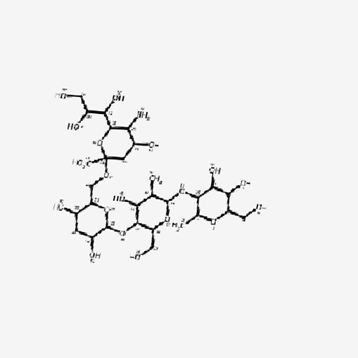 CC1OC(CO)C(O)C(O)C1OC1OC(CO)C(OC2OC(COC3(C(=O)O)CC(O)C(N)C(C(O)C(O)CO)O3)C(O)CC2O)C(O)C1C